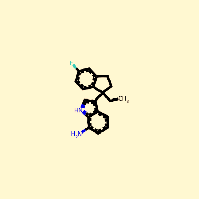 CCC1(c2c[nH]c3c(N)cccc23)CCc2cc(F)ccc21